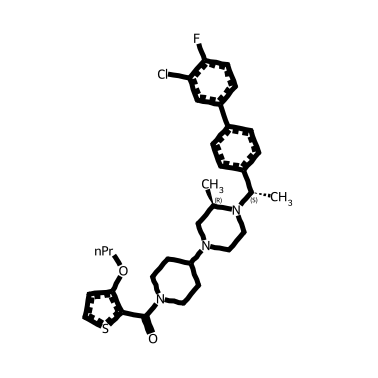 CCCOc1ccsc1C(=O)N1CCC(N2CCN([C@@H](C)c3ccc(-c4ccc(F)c(Cl)c4)cc3)[C@H](C)C2)CC1